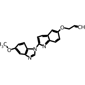 C=CCOc1ccc2nc(-n3cnc4cc(OC)ccc43)ccc2c1